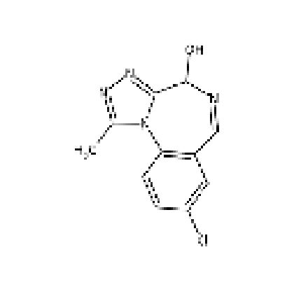 Cc1nnc2n1-c1ccc(Cl)cc1C=NC2O